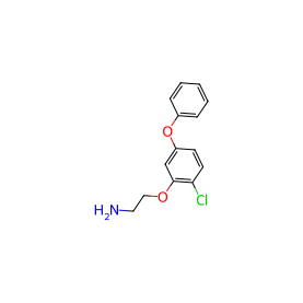 NCCOc1cc(Oc2ccccc2)ccc1Cl